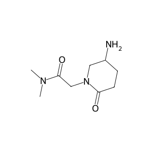 CN(C)C(=O)CN1CC(N)CCC1=O